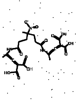 CC(=C=C(C(=O)O)C(=O)O)NC(=O)CCC(C)(CCC(=O)NC(C)=C=C(C(=O)O)C(=O)O)[N+](=O)[O-]